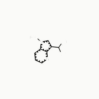 CC(C)c1cn(C)c2cccnc12